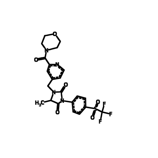 CC1C(=O)N(c2ccc(S(=O)(=O)C(F)(F)F)cc2)C(=O)N1Cc1ccnc(C(=O)N2CCOCC2)c1